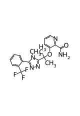 Cn1c(-c2ccccc2C(F)(F)F)nnc1C(C)(C)Oc1cccnc1C(N)=O